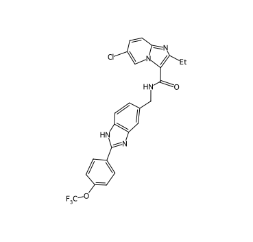 CCc1nc2ccc(Cl)cn2c1C(=O)NCc1ccc2[nH]c(-c3ccc(OC(F)(F)F)cc3)nc2c1